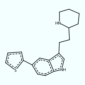 c1csc(-c2ccc3[nH]cc(CCC4CCCCN4)c3c2)c1